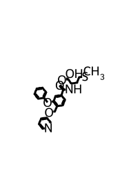 CSCCC(NC(=O)c1ccc(COc2cccnc2)c(Oc2ccccc2)c1)C(=O)O